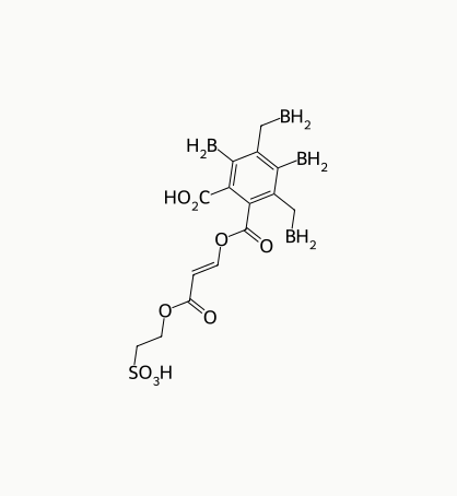 BCc1c(B)c(CB)c(C(=O)O/C=C/C(=O)OCCS(=O)(=O)O)c(C(=O)O)c1B